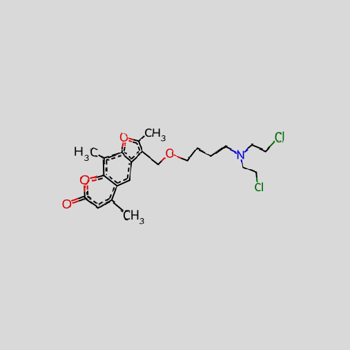 Cc1oc2c(C)c3oc(=O)cc(C)c3cc2c1COCCCCN(CCCl)CCCl